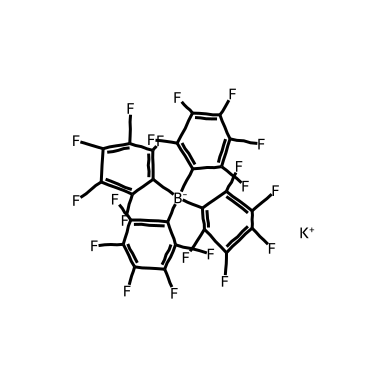 Fc1c(F)c(F)c([B-](c2c(F)c(F)c(F)c(F)c2F)(c2c(F)c(F)c(F)c(F)c2F)c2c(F)c(F)c(F)c(F)c2F)c(F)c1F.[K+]